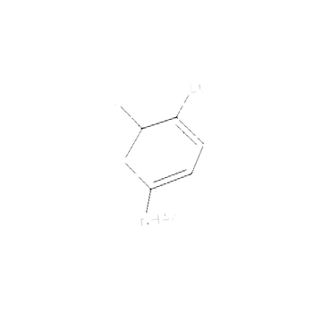 CCC1=CC=C(NC(C)=O)CC1C